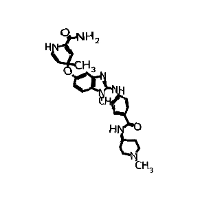 CN1CCC(NC(=O)c2ccc(Nc3nc4cc(OC5(C)C=CNC(C(N)=O)=C5)ccc4n3C)cc2)CC1